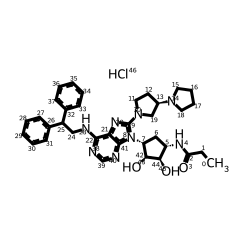 CCC(=O)N[C@H]1C[C@@H](n2c(N3CC[C@@H](N4CCCC4)C3)nc3c(NCC(c4ccccc4)c4ccccc4)ncnc32)[C@H](O)[C@@H]1O.Cl